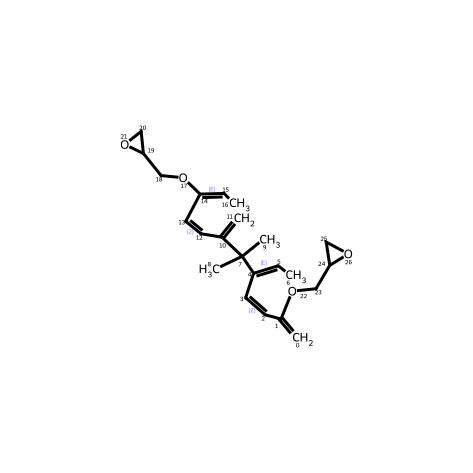 C=C(/C=C\C(=C/C)C(C)(C)C(=C)/C=C\C(=C/C)OCC1CO1)OCC1CO1